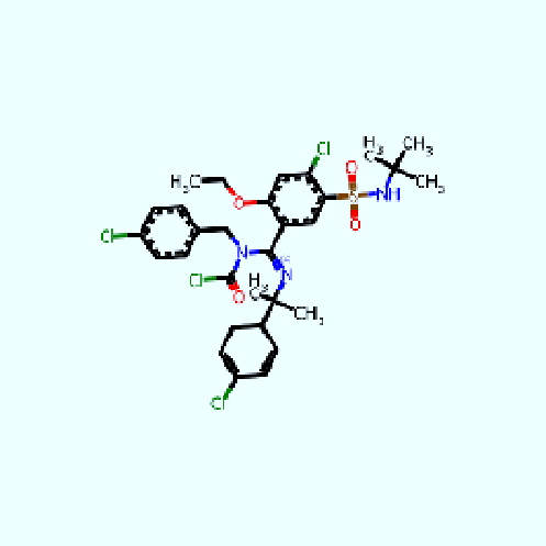 CCOc1cc(Cl)c(S(=O)(=O)NC(C)(C)C)cc1/C(=N/C(C)(C)C1C=CC(Cl)=CC1)N(Cc1ccc(Cl)cc1)C(=O)Cl